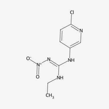 CCNC(=N[N+](=O)[O-])Nc1ccc(Cl)nc1